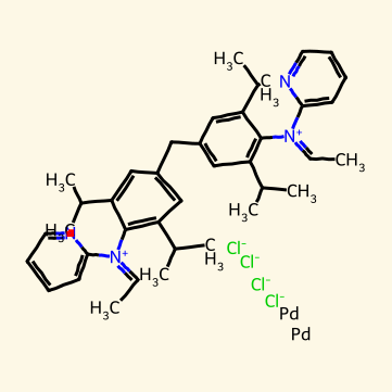 CC=[N+](c1ccccn1)c1c(C(C)C)cc(Cc2cc(C(C)C)c([N+](=CC)c3ccccn3)c(C(C)C)c2)cc1C(C)C.[Cl-].[Cl-].[Cl-].[Cl-].[Pd].[Pd]